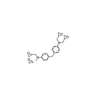 c1cc(N(CC2CO2)CC2CO2)ccc1Cc1ccc(N(CC2CO2)C[C@@H]2CO2)cc1